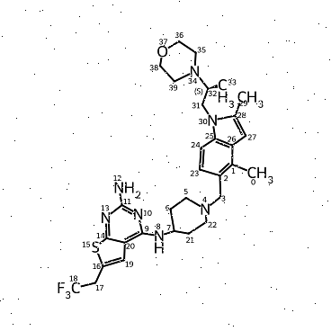 Cc1c(CN2CCC(Nc3nc(N)nc4sc(CC(F)(F)F)cc34)CC2)ccc2c1cc(C)n2C[C@H](C)N1CCOCC1